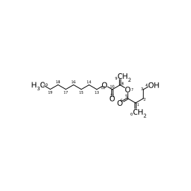 C=C(CCO)C(=O)OC(=C)C(=O)OCCCCCCCC